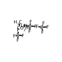 CC(=O)O.F[B-](F)(F)F.F[B-](F)(F)F.F[B-](F)(F)F.[LiH]